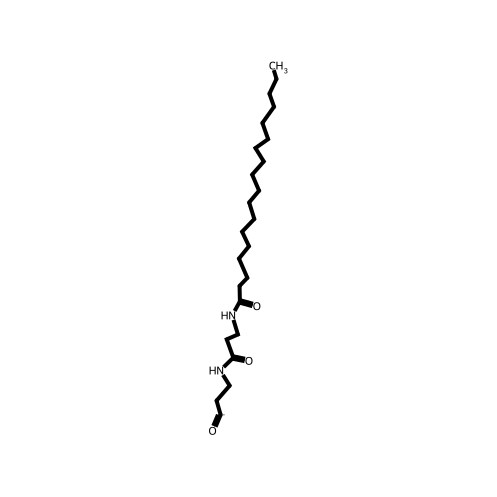 CCCCCCCCCCCCCCCCCC(=O)NCCC(=O)NCC[C]=O